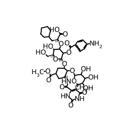 COC(=O)C1CC(O[C@@H]2O[C@@H](CO)C(O)C(O[C@@H](CC3CCCCC3)C(=O)O)C2OC(=O)c2ccc(N)cc2)C(OC2OC(C)C(O)C(O)C2O)[C@H](NC(=O)c2cc(=O)[nH]c(=O)[nH]2)C1